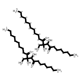 CCCCCCCCCC(=O)C(O)(CO)C(O)C(=O)CCCCCCC.CCCCCCCCCCCC(=O)C(O)(CO)C(O)C(=O)CCCCCCC